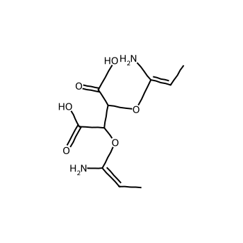 CC=C(N)OC(C(=O)O)C(OC(N)=CC)C(=O)O